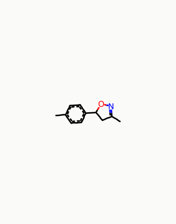 CC1=NOC(c2ccc(C)cc2)C1